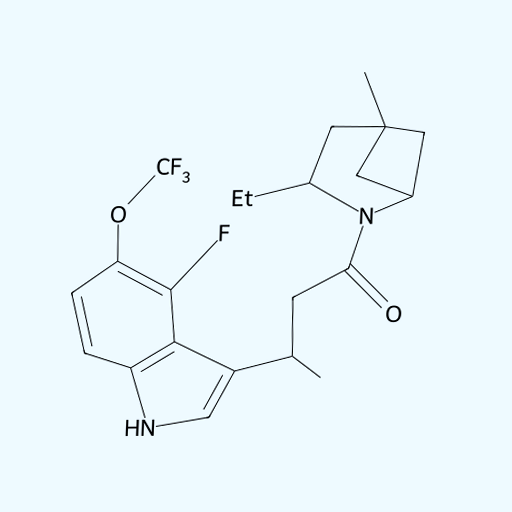 CCC1CC2(C)CC(C2)N1C(=O)CC(C)c1c[nH]c2ccc(OC(F)(F)F)c(F)c12